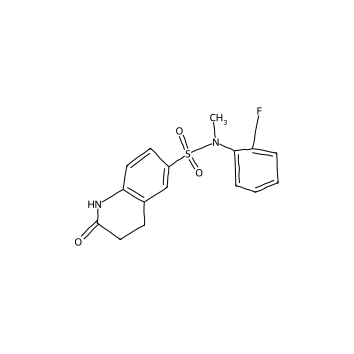 CN(c1ccccc1F)S(=O)(=O)c1ccc2c(c1)CCC(=O)N2